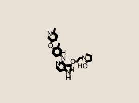 Cc1ccc(Oc2ccc(Nc3nccc4[nH]nc(OCCN5CCC[C@@H]5O)c34)cc2C)cn1